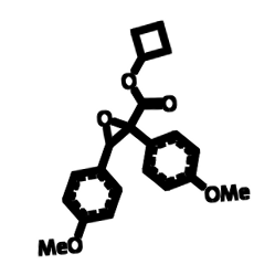 COc1ccc(C2OC2(C(=O)OC2CCC2)c2ccc(OC)cc2)cc1